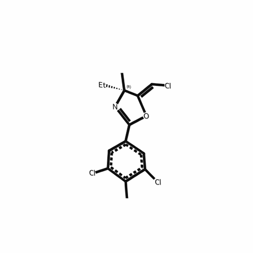 CC[C@@]1(C)N=C(c2cc(Cl)c(C)c(Cl)c2)OC1=CCl